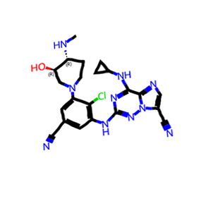 CN[C@@H]1CCN(c2cc(C#N)cc(Nc3nc(NC4CC4)c4ncc(C#N)n4n3)c2Cl)C[C@H]1O